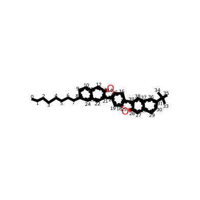 CCCCCCCCc1ccc2cc3oc4cc5c(cc4c3cc2c1)oc1cc2ccc(C(C)(C)C)cc2cc15